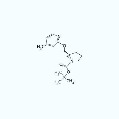 Cc1ccnc(OC[C@H]2CCCN2C(=O)OC(C)(C)C)c1